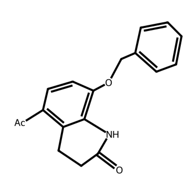 CC(=O)c1ccc(OCc2ccccc2)c2c1CCC(=O)N2